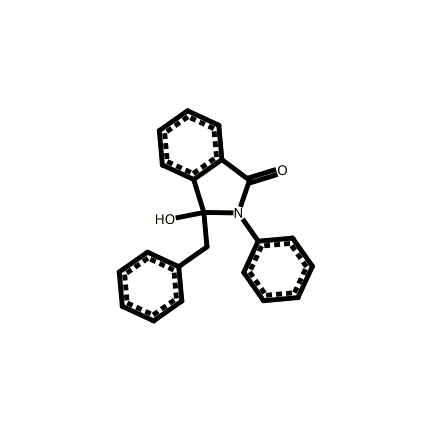 O=C1c2ccccc2C(O)(Cc2ccccc2)N1c1ccccc1